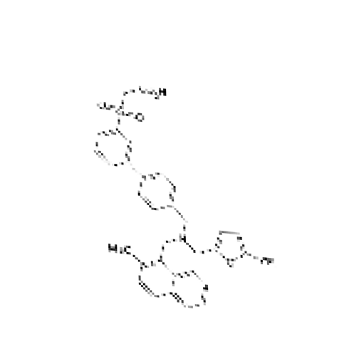 COc1ccc2ccccc2c1CN(Cc1ccc(-c2cccc(S(=O)(=O)CC(=O)O)c2)cc1)Cc1ccc(C(F)(F)F)o1